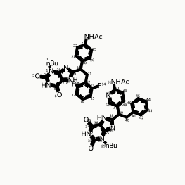 CCCCn1c(=O)[nH]c(=O)c2[nH]c(C(Cc3c(F)cccc3F)c3ccc(NC(C)=O)cc3)nc21.CCCCn1c(=O)[nH]c(=O)c2[nH]c(C(Cc3ccccc3)c3ccc(NC(C)=O)nc3)nc21